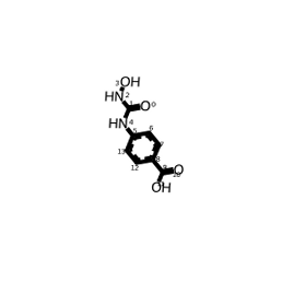 O=C(NO)Nc1ccc(C(=O)O)cc1